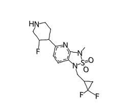 CN1c2nc(C3CCNCC3F)ccc2N(CC2CC2(F)F)S1(=O)=O